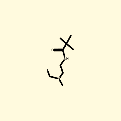 CN(CI)CCNC(=O)C(C)(C)C